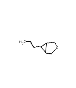 CCCC1C2COCC12